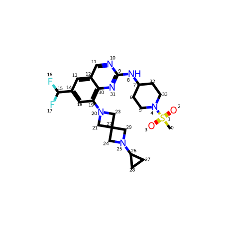 CS(=O)(=O)N1CCC(Nc2ncc3cc(C(F)F)cc(N4CC5(C4)CN(C4CC4)C5)c3n2)CC1